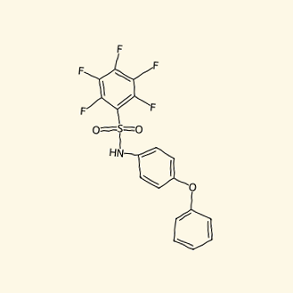 O=S(=O)(Nc1ccc(Oc2ccccc2)cc1)c1c(F)c(F)c(F)c(F)c1F